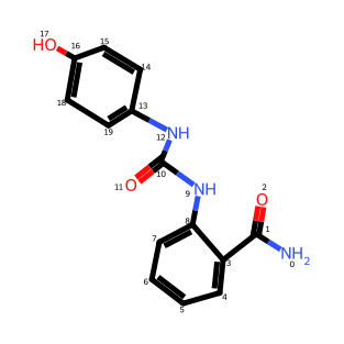 NC(=O)c1ccccc1NC(=O)Nc1ccc(O)cc1